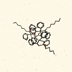 CCCCCCCC(c1ccccc1)C(OP(OC(c1ccccc1)(c1ccccc1)C(CCCCCCC)c1ccccc1)OC(c1ccccc1)(c1ccccc1)C(CCCCCCC)c1ccccc1)(c1ccccc1)c1ccccc1